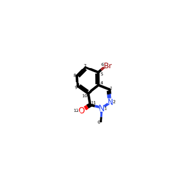 Cn1ncc2c(Br)cccc2c1=O